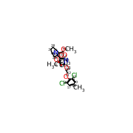 COC(=O)C1C(c2ccc(OCCOc3c(Cl)cc(C)cc3Cl)nc2)CC2CCC1N2C(=O)OC(C)(C)C